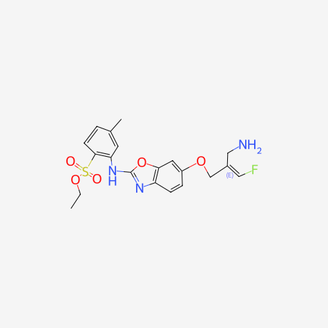 CCOS(=O)(=O)c1ccc(C)cc1Nc1nc2ccc(OC/C(=C/F)CN)cc2o1